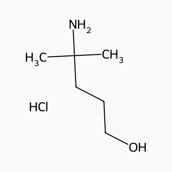 CC(C)(N)CCCO.Cl